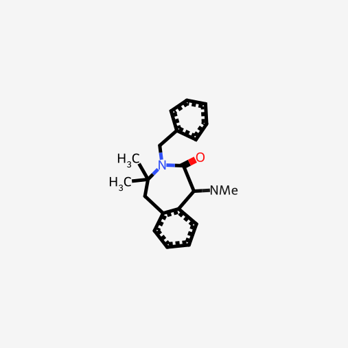 CNC1C(=O)N(Cc2ccccc2)C(C)(C)Cc2ccccc21